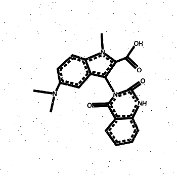 CN(C)c1ccc2c(c1)c(-n1c(=O)[nH]c3ccccc3c1=O)c(C(=O)O)n2C